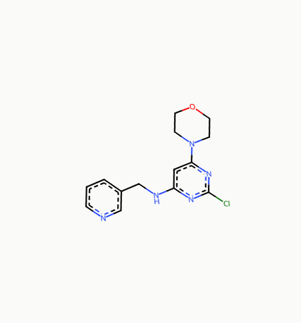 Clc1nc(NCc2cccnc2)cc(N2CCOCC2)n1